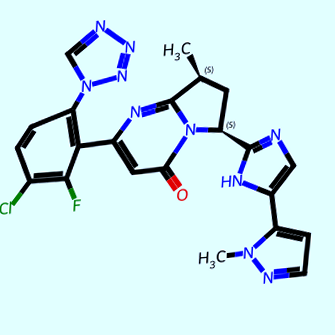 C[C@H]1C[C@@H](c2ncc(-c3ccnn3C)[nH]2)n2c1nc(-c1c(-n3cnnn3)ccc(Cl)c1F)cc2=O